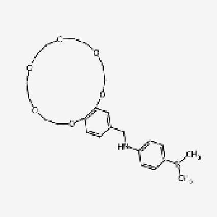 CN(C)c1ccc(NCc2ccc3c(c2)OCCOCCOCCOCCOCCO3)cc1